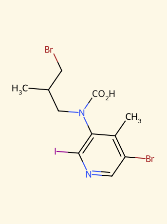 Cc1c(Br)cnc(I)c1N(CC(C)CBr)C(=O)O